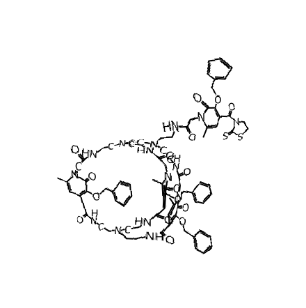 Cc1cc2c(OCc3ccccc3)c(=O)n1CC(=O)NCCN1CCNC(=O)Cn3c(C)cc(c(OCc4ccccc4)c3=O)C(=O)NCCN(CCNC2=O)CCNC(=O)c2cc(C)n(c(=O)c2OCc2ccccc2)CC(=O)NCCN(CCNC(=O)Cn2c(C)cc(C(=O)N3CCSC3=S)c(OCc3ccccc3)c2=O)CC1